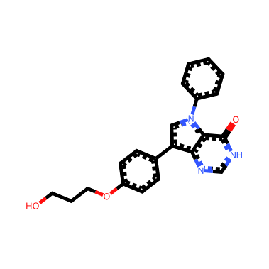 O=c1[nH]cnc2c(-c3ccc(OCCCO)cc3)cn(-c3ccccc3)c12